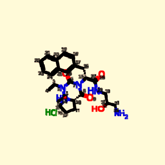 CCN(CC)C(=O)N(C(=O)[C@@H]1CCCN1)[C@H](Cc1ccc2ccccc2c1)C(=O)NCC(O)CN.Cl